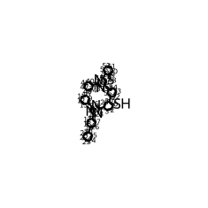 Sc1ccc(-c2nc(-c3ccccc3)nc(-c3ccc(-c4ccccc4)cc3)n2)cc1-c1cccc(-c2nc(-c3ccccc3)nc3c2sc2ccccc23)c1